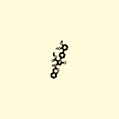 CCOC(=O)c1c(NC(=O)Cc2ccccc2F)cc(Cl)n1-c1ccc(-c2cccc(OC)c2O)cc1